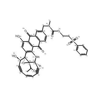 CC(O)[C@@]12O[C@]13c1cc(O)c4c(c1N[C@H]2C#C/C=C\C#C[C@H]3O)C(=O)c1ccc(CN(C)C(=O)OCCS(=O)(=O)c2ccccc2)cc1C4=O